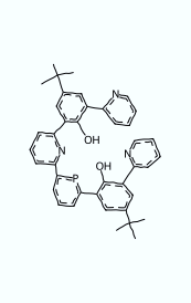 CC(C)(C)c1cc(-c2ccccn2)c(O)c(-c2cccc(-c3cccc(-c4cc(C(C)(C)C)cc(-c5ccccn5)c4O)p3)n2)c1